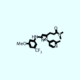 COc1cc(Nc2cc(CCC(=O)N(C)C)n(-c3ccnc(C)c3)n2)cc(C(F)(F)F)c1